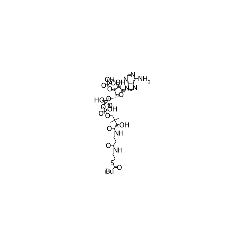 CCC(C)C(=O)SCCNC(=O)CCNC(=O)[C@H](O)C(C)(C)COP(=O)(O)OP(=O)(O)OC[C@H]1O[C@@H](n2cnc3c(N)ncnc32)[C@H](O)[C@@H]1OP(=O)(O)O